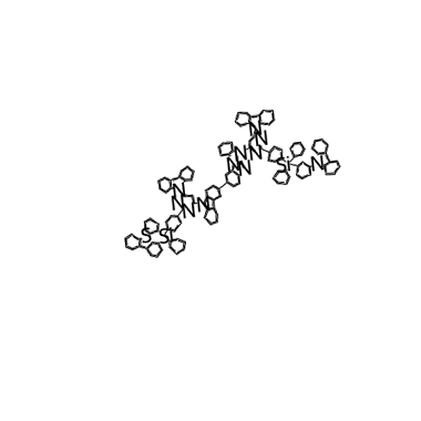 c1ccc([Si](c2ccccc2)(c2ccc(-c3nc(-n4c5ccccc5c5ccccc54)cc(-n4c5ccccc5n5c6cc(-c7ccc8c(c7)c7ccccc7n8-c7cc(-n8c9ccccc9c9ccccc98)nc(-c8ccc([Si](c9ccccc9)(c9ccccc9)c9cccc%10c9sc9ccccc9%10)cc8)n7)ccc6nc45)n3)cc2)c2cccc(-n3c4ccccc4c4ccccc43)c2)cc1